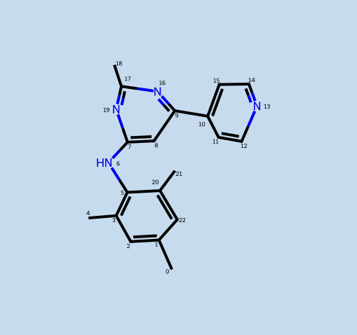 Cc1cc(C)c(Nc2cc(-c3ccncc3)nc(C)n2)c(C)c1